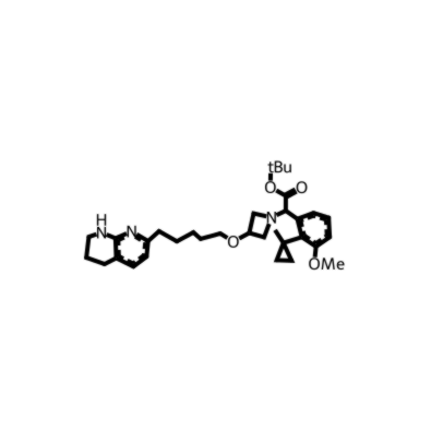 COc1cccc(C(C(=O)OC(C)(C)C)N2CC(OCCCCCc3ccc4c(n3)NCCC4)C2)c1C1(C)CC1